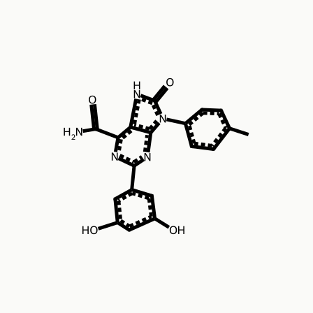 Cc1ccc(-n2c(=O)[nH]c3c(C(N)=O)nc(-c4cc(O)cc(O)c4)nc32)cc1